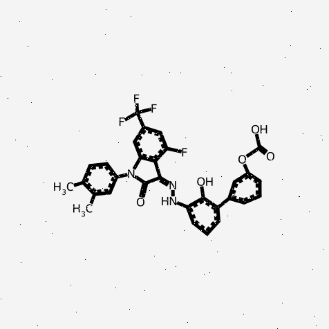 Cc1ccc(N2C(=O)C(=NNc3cccc(-c4cccc(OC(=O)O)c4)c3O)c3c(F)cc(C(F)(F)F)cc32)cc1C